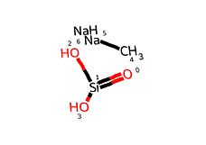 O=[Si](O)O.[CH3][Na].[NaH]